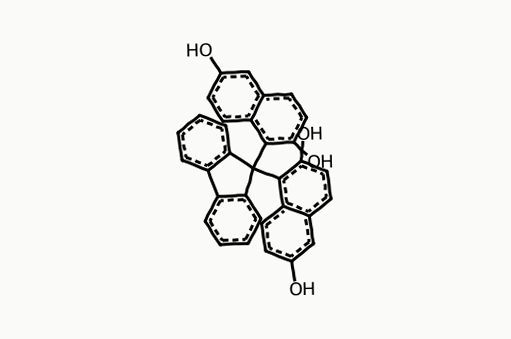 Oc1ccc2c(C3(c4c(O)ccc5cc(O)ccc45)c4ccccc4-c4ccccc43)c(O)ccc2c1